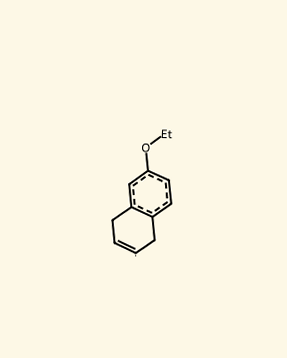 CCOc1ccc2c(c1)CC=[C]C2